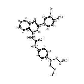 O=C(Nc1ccc(N(CCCl)CCCl)cc1)Nc1cc(-c2ccc(F)c(F)c2)nc2ccccc12